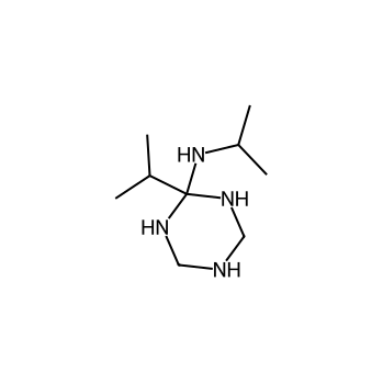 CC(C)NC1(C(C)C)NCNCN1